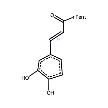 CCCCCC(=O)/C=C/c1ccc(O)c(O)c1